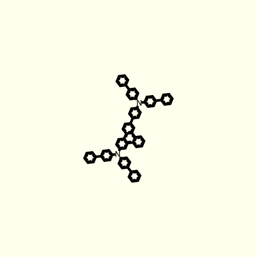 c1ccc(-c2ccc(N(c3ccc(-c4ccccc4)cc3)c3ccc(-c4ccc5c6ccc(N(c7ccc(-c8ccccc8)cc7)c7ccc(-c8ccccc8)cc7)cc6c6ccccc6c5c4)cc3)cc2)cc1